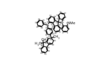 CNc1ccccc1N1c2ccccc2C12c1ccccc1-c1c(N(c3ccccc3)c3ccc(C4(C)C=C5C(=CC4)c4ccccc4C5(C)C)cc3)cccc12